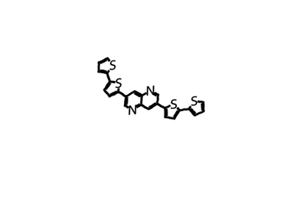 c1csc(-c2ccc(-c3cnc4cc(-c5ccc(-c6cccs6)s5)cnc4c3)s2)c1